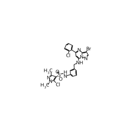 Cc1nn(C)c(Cl)c1S(=O)(=O)CNc1cccc(CNc2cc(-c3ccccc3Cl)nc3c(Br)cnn23)c1